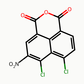 O=C1OC(=O)c2cc([N+](=O)[O-])c(Cl)c3c(Cl)ccc1c23